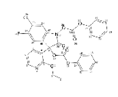 CCOc1ncccc1C1(OC(=O)Oc2ccccc2)C(=O)N(OC(=O)Oc2ccccc2)c2cc(Cl)c(F)cc21